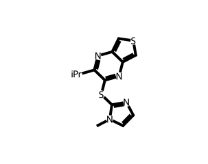 CC(C)c1nc2cscc2nc1Sc1nccn1C